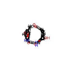 C[C@@H]1CCCOC(=O)CC[C@@H](C)[C@H]2CC[C@H]3[C@@H]4[C@@H](O)CC5C[C@@H](CC[C@]5(C)[C@H]4CC[C@]23C)NC(=O)CCCC(=O)N[C@@H]2CC[C@@]3(C)C(C2)C[C@H](O)[C@H]2[C@@H]4CC[C@H]1[C@@]4(C)CC[C@@H]23